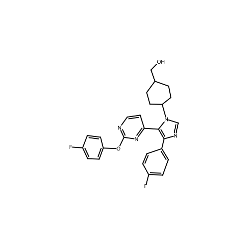 OCC1CCC(n2cnc(-c3ccc(F)cc3)c2-c2ccnc(Oc3ccc(F)cc3)n2)CC1